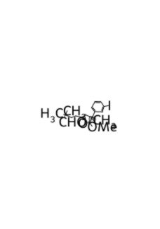 COC(=O)[C@](C)(CCCCC(C)(C)C=O)c1cccc(I)c1